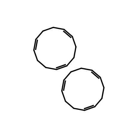 C1=CCCC=CCCC=CCC1.C1=CCCC=CCCC=CCC1